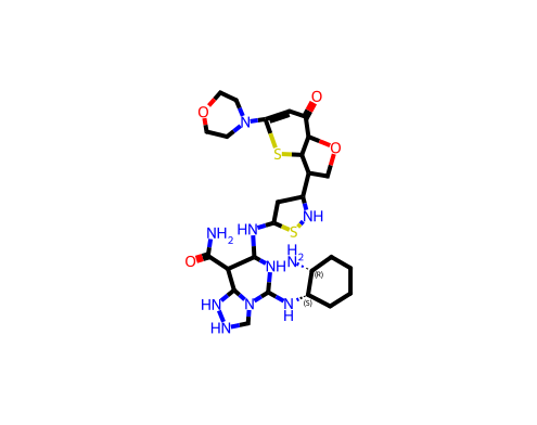 NC(=O)C1C(NC2CC(C3COC4C(=O)C=C(N5CCOCC5)SC43)NS2)NC(N[C@H]2CCCC[C@H]2N)N2CNNC12